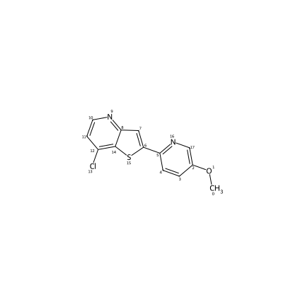 COc1ccc(-c2cc3nccc(Cl)c3s2)nc1